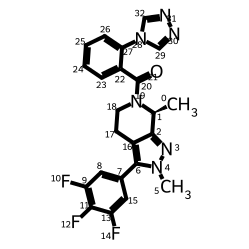 C[C@H]1c2nn(C)c(-c3cc(F)c(F)c(F)c3)c2CCN1C(=O)c1ccccc1-n1cnnc1